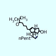 CCCCC[C@H](O)/C=C\[C@@H]1[C@H]2CC(CCCCC(=O)N(C)C)=C[C@H]2C[C@H]1O